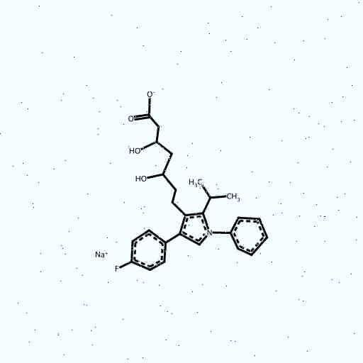 CC(C)c1c(CCC(O)CC(O)CC(=O)[O-])c(-c2ccc(F)cc2)cn1-c1ccccc1.[Na+]